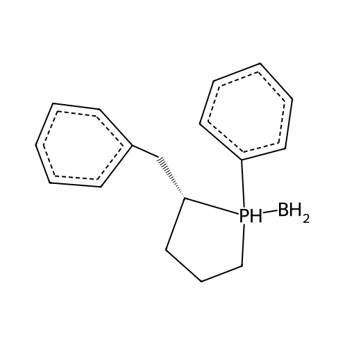 B[PH]1(c2ccccc2)CCC[C@@H]1Cc1ccccc1